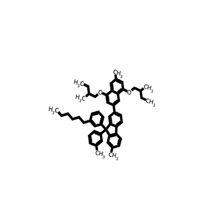 CCCCCCc1cccc(C2(c3cccc(C)c3)c3cc(C)ccc3-c3ccc(-c4cc(OCC(C)CC)c5cc(C)cc(OCC(C)CC)c5c4)cc32)c1